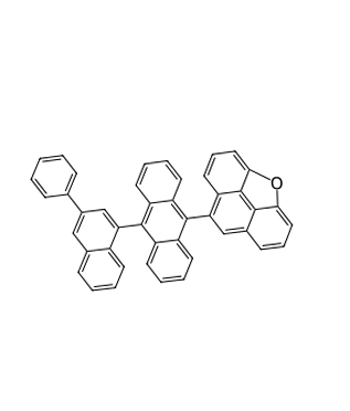 c1ccc(-c2cc(-c3c4ccccc4c(-c4cc5cccc6oc7cccc4c7c56)c4ccccc34)c3ccccc3c2)cc1